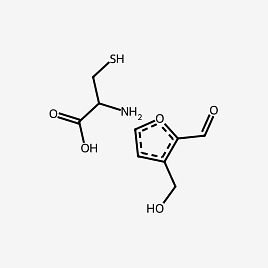 NC(CS)C(=O)O.O=Cc1occc1CO